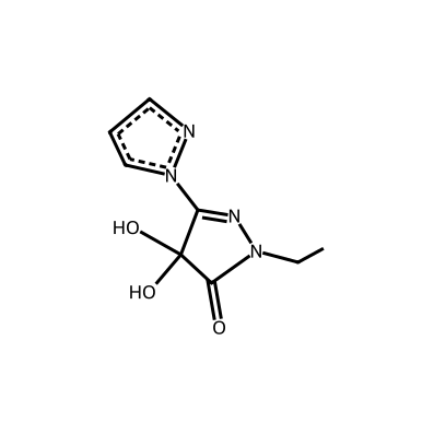 CCN1N=C(n2cccn2)C(O)(O)C1=O